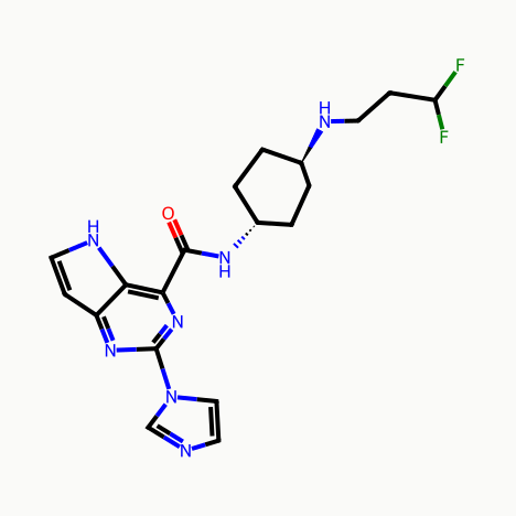 O=C(N[C@H]1CC[C@H](NCCC(F)F)CC1)c1nc(-n2ccnc2)nc2cc[nH]c12